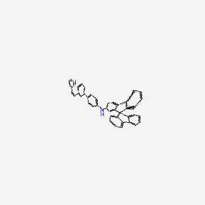 C/C=C\c1cccc(-c2ccc(Nc3ccc4c(c3)C3(c5ccccc5-c5ccccc53)c3ccccc3-4)cc2)c1